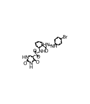 O=C(NNc1ccc(Br)cc1)c1ccccc1NS(=O)(=O)c1c[nH]c(=O)[nH]c1=O